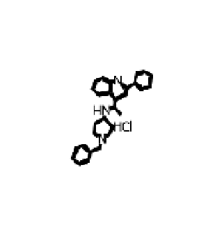 CC(NC1CCN(Cc2ccccc2)CC1)c1cc(-c2ccccc2)nc2ccccc12.Cl